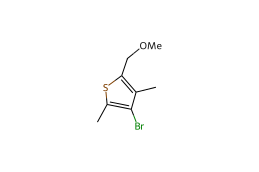 COCc1sc(C)c(Br)c1C